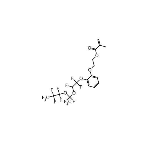 C=C(C)C(=O)OCCOc1ccccc1OC(F)(F)C(F)OC(F)(OC(F)(F)C(F)(F)C(F)(F)F)C(F)(F)F